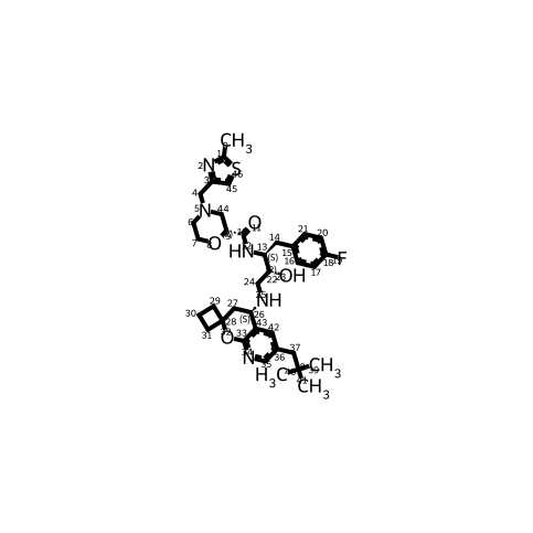 Cc1nc(CN2CCO[C@@H](C(=O)N[C@@H](Cc3ccc(F)cc3)[C@H](O)CN[C@H]3CC4(CCC4)Oc4ncc(CC(C)(C)C)cc43)C2)cs1